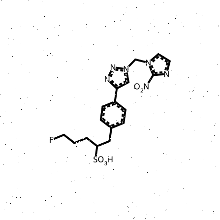 O=[N+]([O-])c1nccn1Cn1cc(-c2ccc(CC(CCCF)S(=O)(=O)O)cc2)nn1